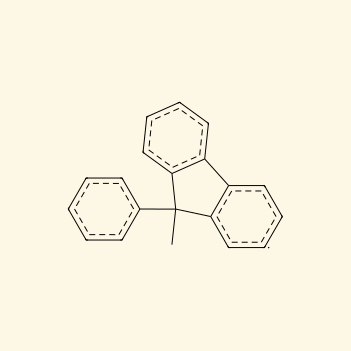 CC1(c2ccccc2)c2c[c]ccc2-c2ccccc21